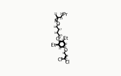 CCc1cc(OCC=C(Cl)Cl)cc(CC)c1OCCCCON=C(C)CC(C)C